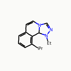 CCN1N=CN2C=Cc3cccc(C(C)C)c3C21